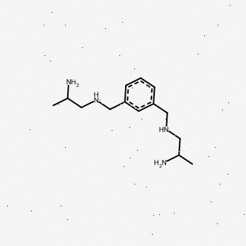 CC(N)CNCc1cccc(CNCC(C)N)c1